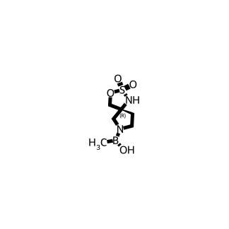 CB(O)N1CC[C@]2(COS(=O)(=O)N2)C1